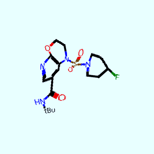 CC(C)(C)NC(=O)c1cnc2c(c1)N(S(=O)(=O)N1CCC(F)CC1)CCO2